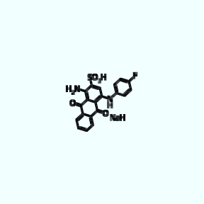 Nc1c(S(=O)(=O)O)cc(Nc2ccc(F)cc2)c2c1C(=O)c1ccccc1C2=O.[NaH]